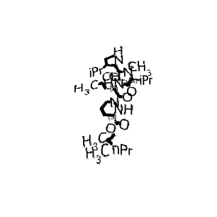 C=C(C)C[C@H](NC(=O)[C@H](C(C)C)N(C)C(=O)C1NCCC1C(C)C)C(=O)N1CCC[C@@H](C(=O)OCC(C)(C)CCC)N1